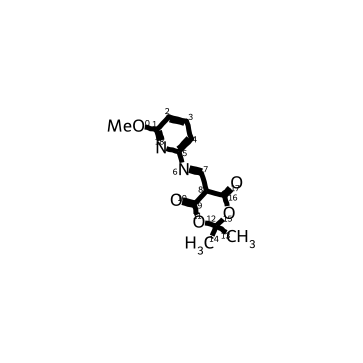 COc1cccc(/N=C/C2C(=O)OC(C)(C)OC2=O)n1